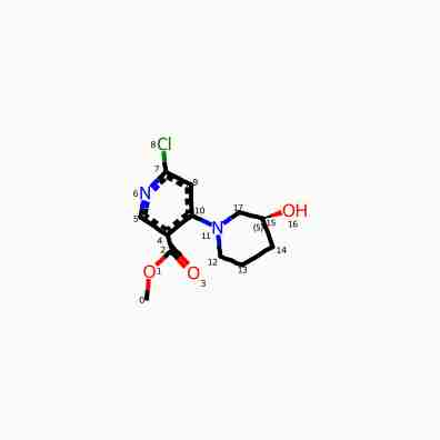 COC(=O)c1cnc(Cl)cc1N1CCC[C@H](O)C1